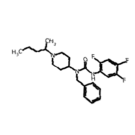 CCCC(C)N1CCC(N(Cc2ccccc2)C(=O)Nc2cc(F)c(F)cc2F)CC1